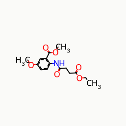 CCOC(=O)CCC(=O)Nc1ccc(OC)cc1C(=O)OC